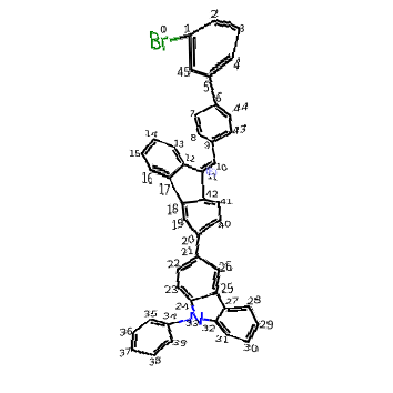 Brc1cccc(-c2ccc(/C=C3\c4ccccc4-c4cc(-c5ccc6c(c5)c5ccccc5n6-c5ccccc5)ccc43)cc2)c1